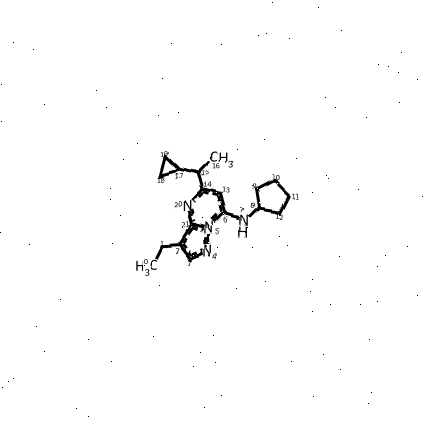 CCc1cnn2c(NC3CCCC3)cc(C(C)C3CC3)nc12